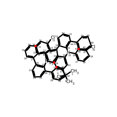 CC(C)(C)c1cc(N(c2cccc(Cl)c2)c2c(-c3ccccc3)cccc2-c2ccccc2)cc(N(c2cccc(Cl)c2)c2c(-c3ccccc3)cccc2-c2ccccc2)c1